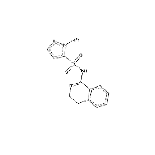 CC(C)n1nccc1S(=O)(=O)NC1=NCCc2ccccc21